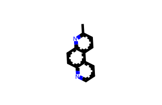 Cc1ccc2c(ccc3ncccc32)n1